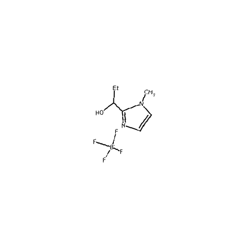 CCC(O)c1nccn1C.F[B-](F)(F)F